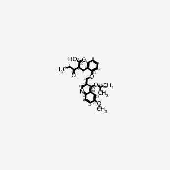 CCC(=O)C(Cc1ccccc1OCc1cnc2ccc(OC)cc2c1OC(C)C)C(=O)O